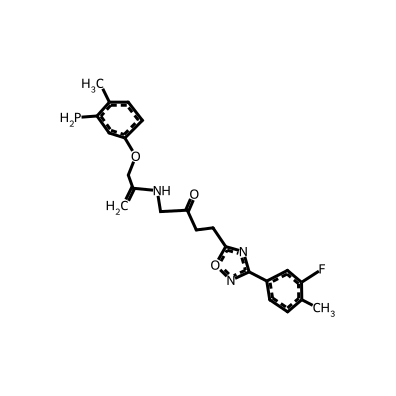 C=C(COc1ccc(C)c(P)c1)NCC(=O)CCc1nc(-c2ccc(C)c(F)c2)no1